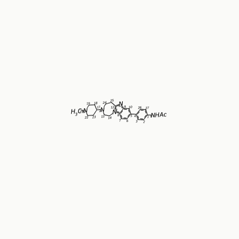 CC(=O)Nc1ccc(-c2ccc3c(c2)nc2n3CCN(C3CCN(C)CC3)CC2)cc1